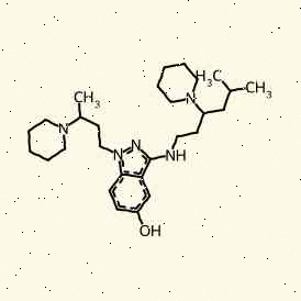 CC(C)CC(CCNc1nn(CCC(C)N2CCCCC2)c2ccc(O)cc12)N1CCCCC1